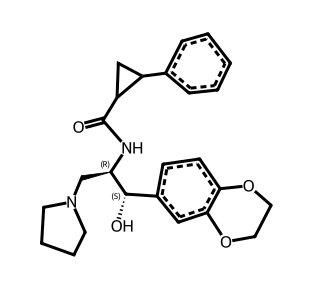 O=C(N[C@H](CN1CCCC1)[C@@H](O)c1ccc2c(c1)OCCO2)C1CC1c1ccccc1